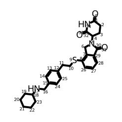 O=C1CCC(N2Cc3c(SCCc4ccc(CNC5CCCCC5)cc4)cccc3C2=O)C(=O)N1